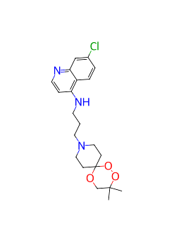 CC1(C)COC2(CCN(CCCNc3ccnc4cc(Cl)ccc34)CC2)OO1